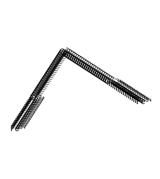 [Fe+3].[Fe+3].[Fe+3].[Fe+3].[Fe+3].[Fe+3].[Fe+3].[Fe+3].[Fe+3].[Fe+3].[Fe+3].[Fe+3].[Fe+3].[Fe+3].[Fe+3].[Fe+3].[Fe+3].[Fe+3].[Fe+3].[Fe+3].[Fe+3].[Fe+3].[Fe+3].[Fe+3].[Fe+3].[Fe+3].[Fe+3].[Fe+3].[Fe+3].[Fe+3].[Fe+3].[Fe+3].[Fe+3].[Fe+3].[Fe+3].[Fe+3].[O-2].[O-2].[O-2].[O-2].[O-2].[O-2].[O-2].[O-2].[O-2].[O-2].[O-2].[O-2].[O-2].[O-2].[O-2].[O-2].[O-2].[O-2].[O-2].[O-2].[O-2].[O-2].[O-2].[O-2].[O-2].[O-2].[O-2].[O-2].[O-2].[O-2].[O-2].[O-2].[O-2].[O-2].[O-2].[O-2].[O-2].[O-2].[O-2].[O-2].[O-2].[O-2].[O-2].[O-2].[O-2].[O-2].[O-2].[O-2].[O-2].[O-2].[O-2].[O-2].[O-2]